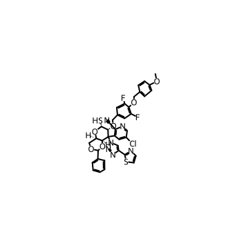 COc1ccc(COc2c(F)cc(CO[C@H]3[C@@H](S)O[C@@H]4COC(c5ccccc5)O[C@@H]4C3(c3cc(Cl)cnc3C#N)n3cc(-c4nccs4)nn3)cc2F)cc1